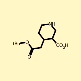 CC(C)(C)OC(=O)CC1CCNCC1C(=O)O